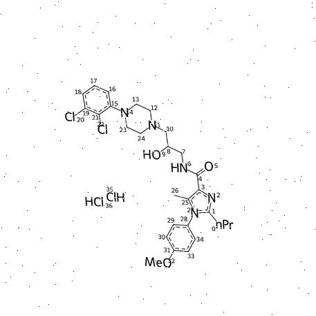 CCCc1nc(C(=O)NCC(O)CN2CCN(c3cccc(Cl)c3Cl)CC2)c(C)n1-c1ccc(OC)cc1.Cl.Cl